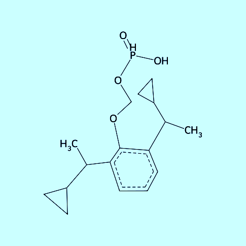 CC(c1cccc(C(C)C2CC2)c1OCO[PH](=O)O)C1CC1